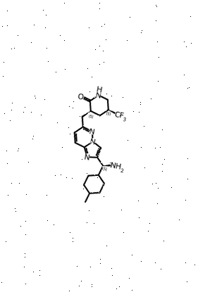 CC1CCC([C@H](N)c2cn3nc(C[C@@H]4C[C@H](C(F)(F)F)CNC4=O)ccc3n2)CC1